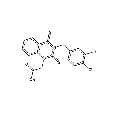 O=C(O)Cn1c(=S)n(Cc2ccc(Cl)c(Cl)c2)c(=S)c2ccccc21